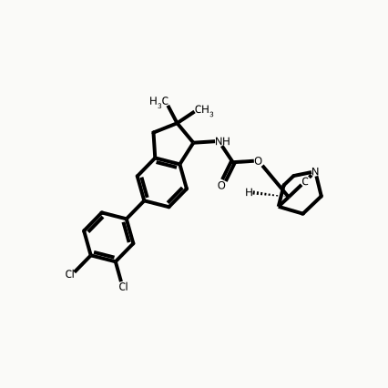 CC1(C)Cc2cc(-c3ccc(Cl)c(Cl)c3)ccc2C1NC(=O)O[C@H]1CN2CCC1CC2